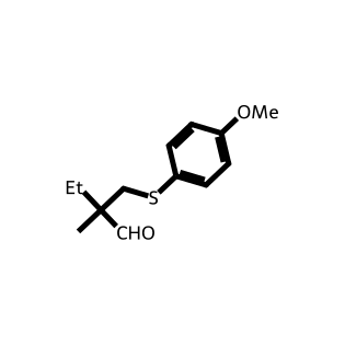 CCC(C)(C=O)CSc1ccc(OC)cc1